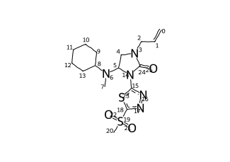 C=CCN1CC(N(C)C2CCCCC2)N(c2nnc(S(C)(=O)=O)s2)C1=O